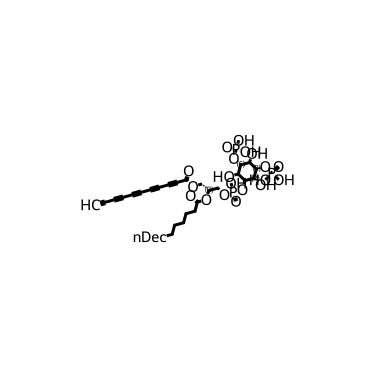 C#CC#CC#CC#CC#CC(=O)OC[C@H](COP(=O)(O)OC1C(O)[C@@H](OP(=O)(O)O)C(O)[C@@H](OP(=O)(O)O)[C@H]1O)OC(=O)CCCCCCCCCCCCCCC